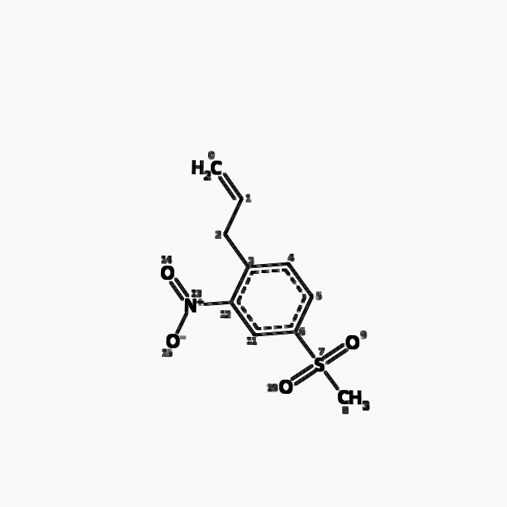 C=CCc1ccc(S(C)(=O)=O)cc1[N+](=O)[O-]